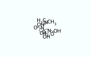 CCC(C(=O)O)N(CCN(C)C)CCN(CC(=O)O)CC(=O)O